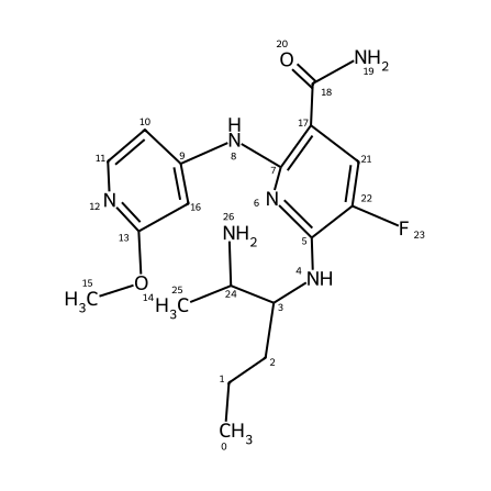 CCCC(Nc1nc(Nc2ccnc(OC)c2)c(C(N)=O)cc1F)C(C)N